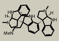 CNCCC1([C@]23CCN(C)[C@H]2Nc2ccccc23)c2cccc([C@]34CCN(C)[C@H]3Nc3ccccc34)c2N[C@H]1C